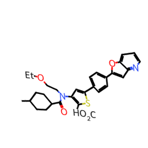 CCOCCN(C(=O)C1CCC(C)CC1)c1cc(-c2ccc(-c3cc4ncccc4o3)cc2)sc1C(=O)O